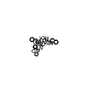 COc1ccc(S(=O)(=O)N(Cc2ccccc2)[C@H](NC(=O)[C@H](CC(N)=O)NC(=O)c2ccc3ccccc3n2)[C@@H](C)O)cc1OC1CCCC1